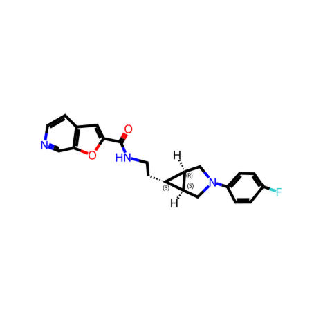 O=C(NCC[C@@H]1[C@H]2CN(c3ccc(F)cc3)C[C@@H]12)c1cc2ccncc2o1